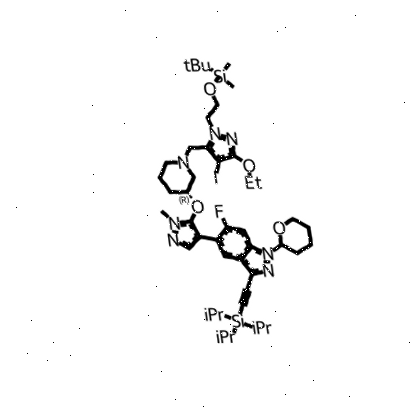 CCOc1nn(CCO[Si](C)(C)C(C)(C)C)c(CN2CCC[C@@H](Oc3c(-c4cc5c(C#C[Si](C(C)C)(C(C)C)C(C)C)nn(C6CCCCO6)c5cc4F)cnn3C)C2)c1I